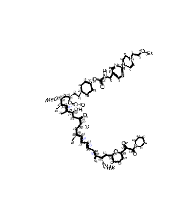 CCOCCN1CCN(c2ncc(CNC(=O)O[C@H]3CC[C@H](CC[C@H](C[C@@H](OC)[C@H](C)/C=C(\C)[C@@H](O)CC(=O)[C@H](C)C[C@H](C)/C=C/C=C/C=C(\C)[C@H](CC4CCCC(C(=O)C(=O)N5CCCCC5)O4)OC)OC=O)CC3)cn2)CC1